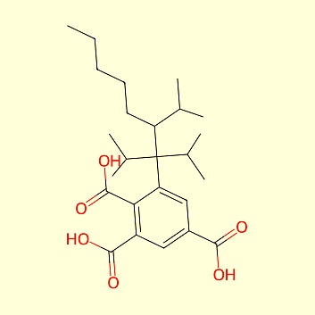 CCCCCC(C(C)C)C(c1cc(C(=O)O)cc(C(=O)O)c1C(=O)O)(C(C)C)C(C)C